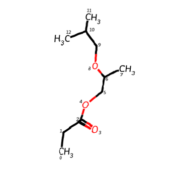 CCC(=O)OCC(C)OCC(C)C